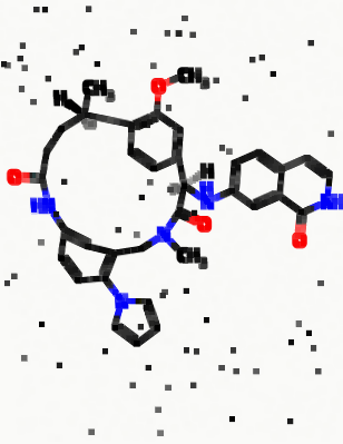 COc1cc2ccc1[C@@H](C)CCC(=O)Nc1ccc(-n3cccc3)c(c1)CN(C)C(=O)[C@@H]2Nc1ccc2cc[nH]c(=O)c2c1